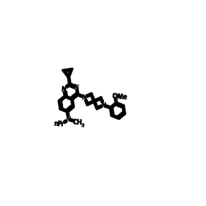 CCCN(C)c1ccc2nc(C3CC3)nc(N3CC4(CN(c5ccccc5OC)C4)C3)c2c1